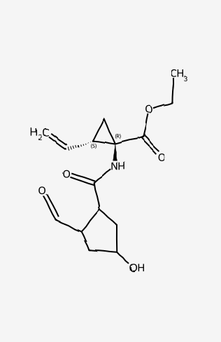 C=C[C@@H]1C[C@]1(NC(=O)C1CC(O)CC1C=O)C(=O)OCC